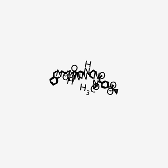 CON=C(C(=O)N1CCC(Nc2cc(C(=O)NC[C@H](O)CN3CCc4ccccc4C3)ncn2)CC1)c1ccc(S(=O)(=O)C2CC2)cc1